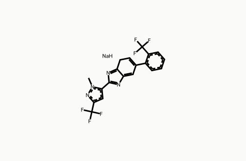 Cn1nc(C(F)(F)F)cc1C1=NC2=CC(c3ccccc3C(F)(F)F)=CCC2=N1.[NaH]